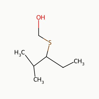 CCC(SCO)C(C)C